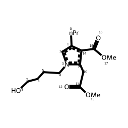 CCCc1cn(CCCCO)c(CC(=O)OC)c1C(=O)OC